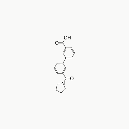 O=C(O)c1cccc(-c2cccc(C(=O)N3CCCC3)c2)c1